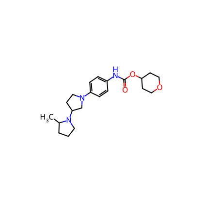 CC1CCCN1C1CCN(c2ccc(NC(=O)OC3CCOCC3)cc2)C1